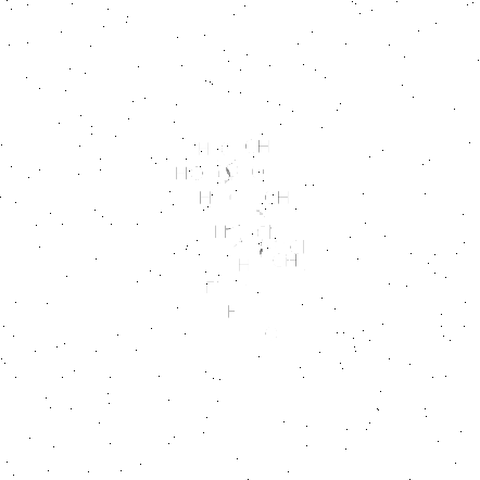 CC1(C)O[C@@H]2C[C@H]3[C@@H]4C[C@H](F)C5=C(F)C(=O)C=C[C@]5(C)[C@@]4(Cl)[C@@H](Cl)C[C@]3(C)[C@]2(C(=O)CO)O1